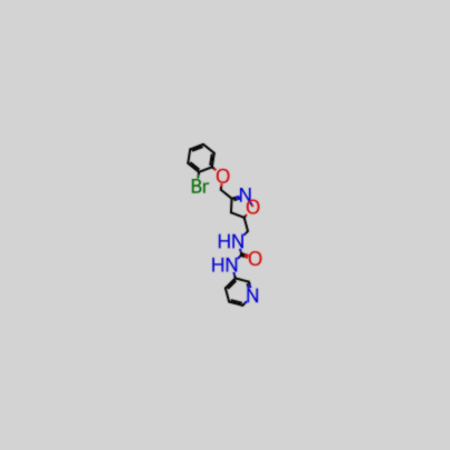 O=C(NCC1CC(COc2ccccc2Br)=NO1)Nc1cccnc1